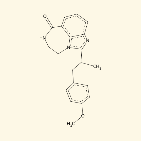 COc1ccc(CC(C)c2nc3cccc4c3n2CCNC4=O)cc1